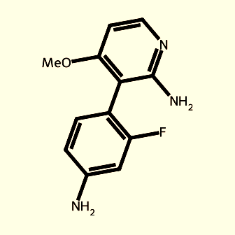 COc1ccnc(N)c1-c1ccc(N)cc1F